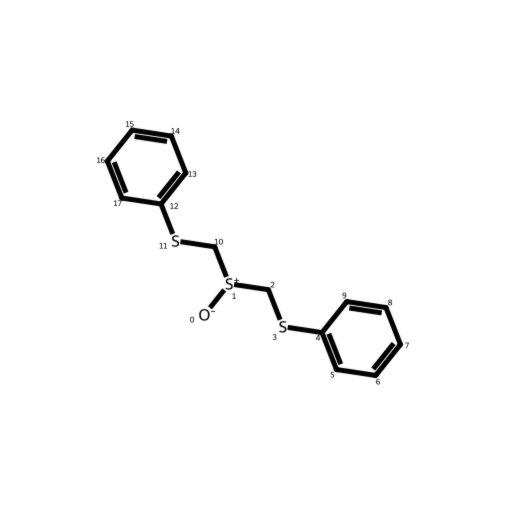 [O-][S+](CSc1ccccc1)CSc1ccccc1